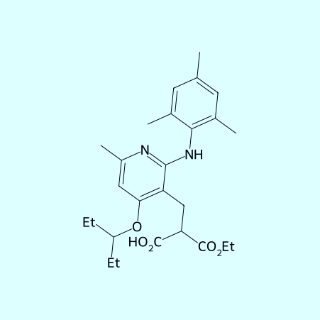 CCOC(=O)C(Cc1c(OC(CC)CC)cc(C)nc1Nc1c(C)cc(C)cc1C)C(=O)O